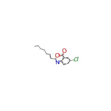 CCCCCC=Cc1nc2ccc(Cl)cc2c(=O)o1